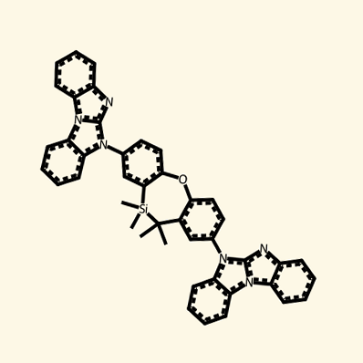 CC1(C)c2cc(-n3c4ccccc4n4c5ccccc5nc34)ccc2Oc2ccc(-n3c4ccccc4n4c5ccccc5nc34)cc2[Si]1(C)C